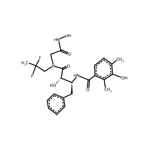 CCCNC(=O)CN(CC(C)(F)F)C(=O)[C@@H](O)[C@H](Cc1ccccc1)NC(=O)c1ccc(C)c(O)c1C